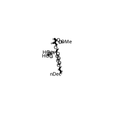 C=C(OOOC)C(C)COCCOOOOOOCCCCCCCCCCCCC.O=P(O)(O)O